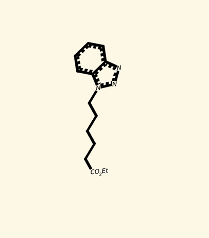 CCOC(=O)CCCCCn1nnc2ccccc21